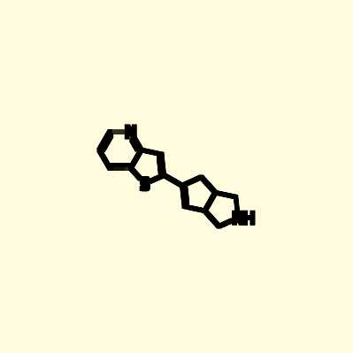 C1=C(c2cc3ncccc3s2)CC2CNCC12